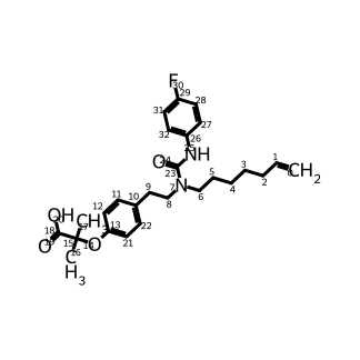 C=CCCCCCN(CCc1ccc(OC(C)(C)C(=O)O)cc1)C(=O)Nc1ccc(F)cc1